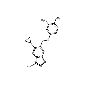 Cc1ccc(OCc2cc3onc(N)c3cc2C2CC2)cc1C